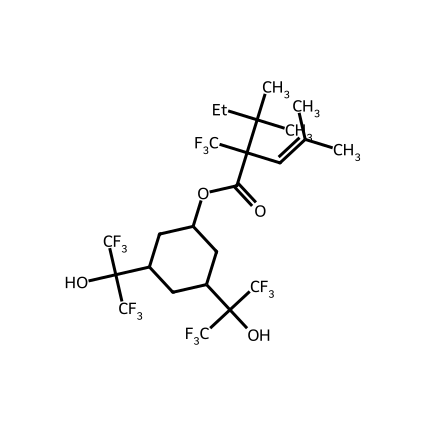 CCC(C)(C)C(C=C(C)C)(C(=O)OC1CC(C(O)(C(F)(F)F)C(F)(F)F)CC(C(O)(C(F)(F)F)C(F)(F)F)C1)C(F)(F)F